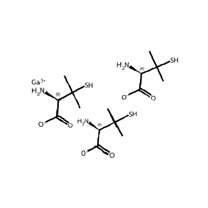 CC(C)(S)[C@H](N)C(=O)[O-].CC(C)(S)[C@H](N)C(=O)[O-].CC(C)(S)[C@H](N)C(=O)[O-].[Ga+3]